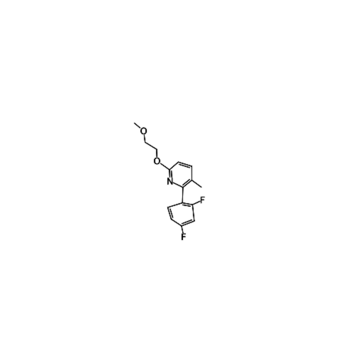 COCCOc1ccc(C)c(-c2ccc(F)cc2F)n1